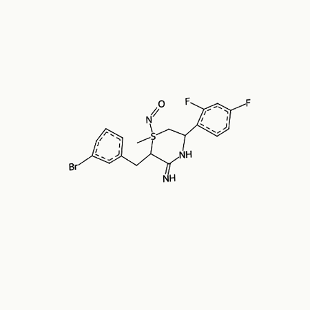 CS1(N=O)CC(c2ccc(F)cc2F)NC(=N)C1Cc1cccc(Br)c1